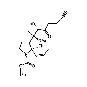 C#CCCC(=O)[C@@H](CCC)[C@](C)(OC)[C@H]1CCN(C(=O)OC(C)(C)C)[C@]1(C#N)/C=C\C